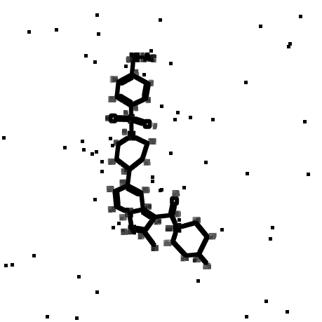 CC(=O)Nc1ccc(S(=O)(=O)N2CCC(c3ccn4nc(C)c(C(=O)N5CCC(C)CC5)c4c3)CC2)cc1